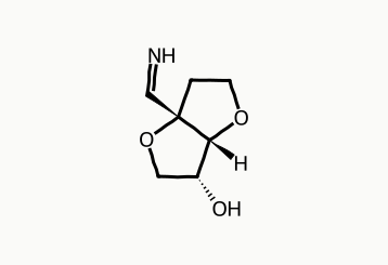 N=C[C@@]12CCO[C@@H]1[C@H](O)CO2